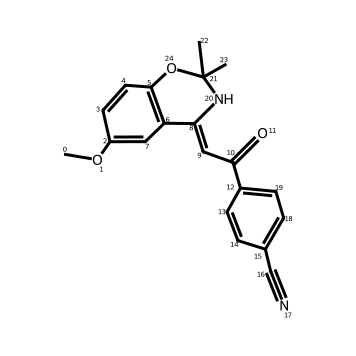 COc1ccc2c(c1)/C(=C/C(=O)c1ccc(C#N)cc1)NC(C)(C)O2